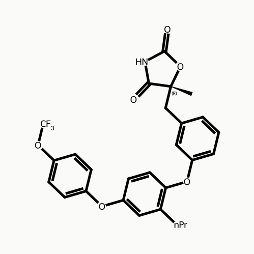 CCCc1cc(Oc2ccc(OC(F)(F)F)cc2)ccc1Oc1cccc(C[C@@]2(C)OC(=O)NC2=O)c1